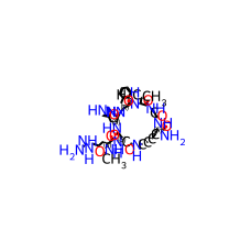 CC(=O)N[C@@H](CCCNC(=N)N)C(=O)N[C@H]1CC(=O)NCCCC[C@@H](C(N)=O)NC(=O)CNC(=O)C(C(C)C)NC(=O)[C@@H](Cc2ccccc2)NC(=O)[C@H](Cc2c[nH]cn2)NC1=O